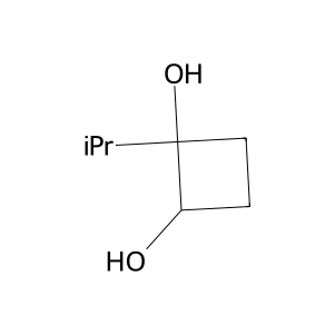 CC(C)C1(O)CCC1O